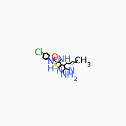 CCCCCc1c(C#N)c(N)nc2sc(C(=O)Nc3ccc(Cl)cc3)c(N)c12